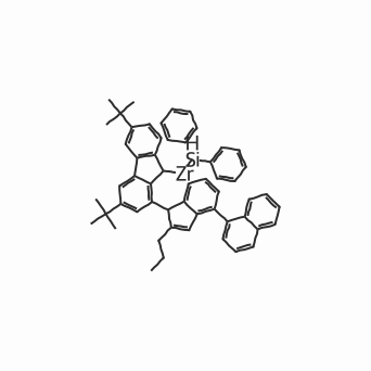 CCCC1=Cc2c(-c3cccc4ccccc34)cccc2C1c1cc(C(C)(C)C)cc2c1[CH]([Zr][SiH](c1ccccc1)c1ccccc1)c1ccc(C(C)(C)C)cc1-2